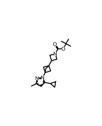 Cc1cc(C2CC2)n(C23CC(C4CN(C(=O)OC(C)(C)C)C4)(C2)C3)n1